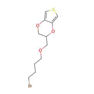 BrCCCCOCC1COc2cscc2O1